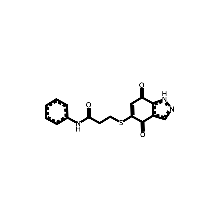 O=C(CCSC1=CC(=O)c2[nH]ncc2C1=O)Nc1ccccc1